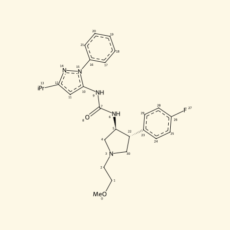 COCCN1C[C@@H](NC(=O)Nc2cc(C(C)C)nn2-c2ccccc2)[C@H](c2ccc(F)cc2)C1